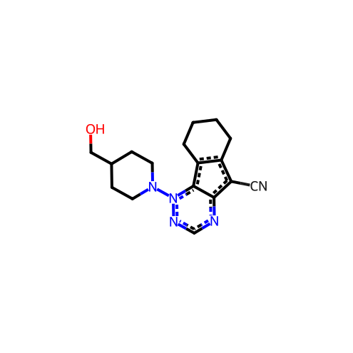 N#Cc1c2ncnn(N3CCC(CO)CC3)c-2c2c1CCCC2